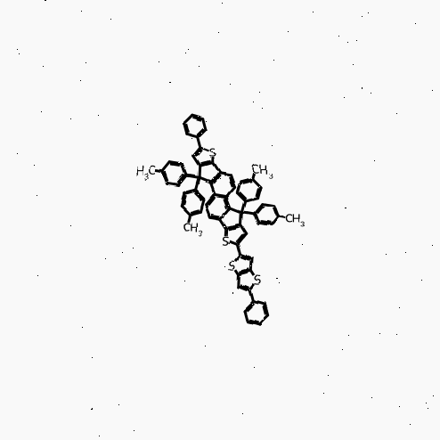 Cc1ccc(C2(c3ccc(C)cc3)c3cc(-c4ccccc4)sc3-c3ccc4c5c(ccc4c32)-c2sc(-c3cc4sc(-c6ccccc6)cc4s3)cc2C5(c2ccc(C)cc2)c2ccc(C)cc2)cc1